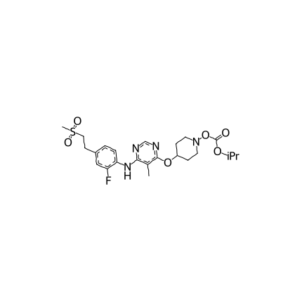 Cc1c(Nc2ccc(CCS(C)(=O)=O)cc2F)ncnc1OC1CCN(OC(=O)OC(C)C)CC1